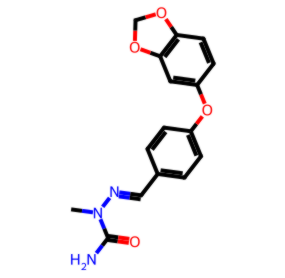 CN(N=Cc1ccc(Oc2ccc3c(c2)OCO3)cc1)C(N)=O